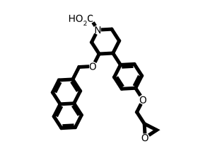 O=C(O)N1CCC(c2ccc(OCC3CO3)cc2)C(OCc2ccc3ccccc3c2)C1